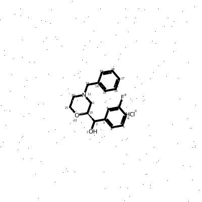 Cl.OC(c1cccc(F)c1)[C@@H]1CN(Cc2ccccc2)CCO1